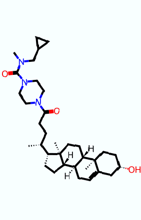 C[C@H](CCC(=O)N1CCN(C(=O)N(C)CC2CC2)CC1)[C@H]1CC[C@H]2[C@@H]3CC=C4C[C@@H](O)CC[C@]4(C)[C@H]3CC[C@]12C